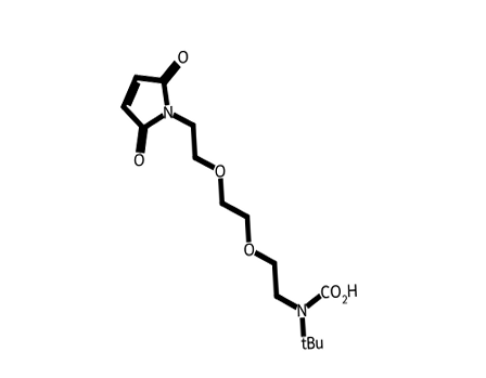 CC(C)(C)N(CCOCCOCCN1C(=O)C=CC1=O)C(=O)O